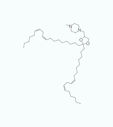 CCCCC/C=C\C/C=C\CCCCCCCCC1(CCCCCCCC/C=C\C/C=C\CCCCC)OCC(CN2CCN(C)CC2)O1